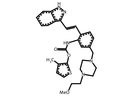 COCCN1CCN(Cc2ccc(/C=C/c3n[nH]c4ccccc34)c(NC(=O)Oc3sccc3C)c2)CC1